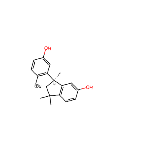 CC(C)(C)c1ccc(O)cc1[C@]1(C)CC(C)(C)c2ccc(O)cc21